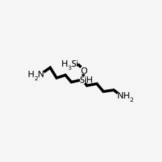 NCCCC[SiH](CCCCN)O[SiH3]